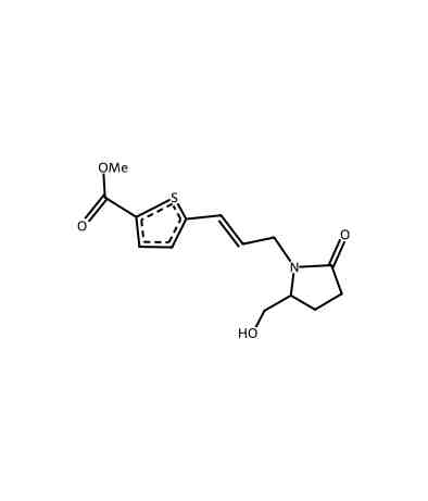 COC(=O)c1ccc(/C=C/CN2C(=O)CCC2CO)s1